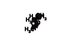 Cc1nc(CN2CCN(C(=O)c3cc4c(-c5ccnc(C(C)(C)O)n5)cn(C)c4cc3Cl)CC2)cs1